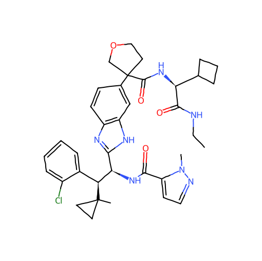 CCNC(=O)[C@@H](NC(=O)C1(c2ccc3nc([C@@H](NC(=O)c4ccnn4C)[C@H](c4ccccc4Cl)C4(C)CC4)[nH]c3c2)CCOC1)C1CCC1